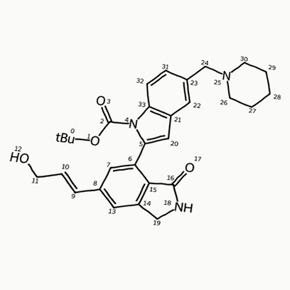 CC(C)(C)OC(=O)n1c(-c2cc(C=CCO)cc3c2C(=O)NC3)cc2cc(CN3CCCCC3)ccc21